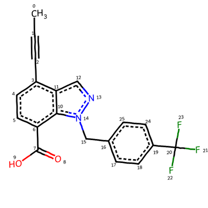 CC#Cc1ccc(C(=O)O)c2c1cnn2Cc1ccc(C(F)(F)F)cc1